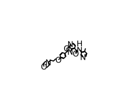 Cc1ccncc1NC(=O)c1ccnc2oc(-c3ccc(OCCCN4CCOCC4)cc3)nc12